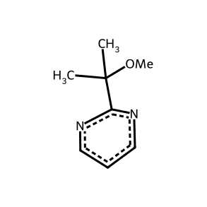 COC(C)(C)c1ncccn1